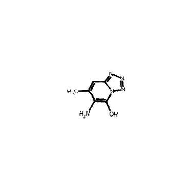 Cc1cc2nnnn2c(O)c1N